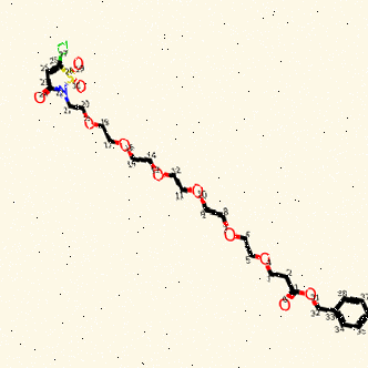 O=C(CCOCCOCCOCCOCCOCCOCCN1C(=O)C=C(Cl)S1(=O)=O)OCc1ccccc1